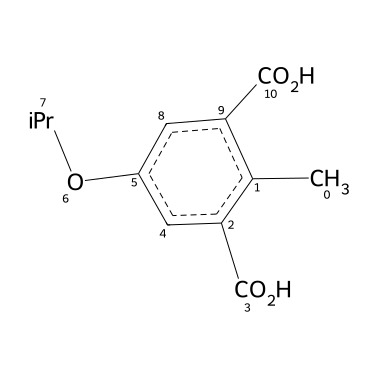 Cc1c(C(=O)O)cc(OC(C)C)cc1C(=O)O